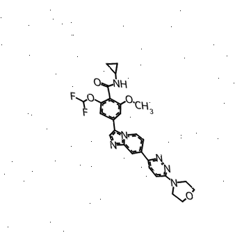 COc1cc(-c2cnc3cc(-c4ccc(N5CCOCC5)nn4)ccn23)cc(OC(F)F)c1C(=O)NC1CC1